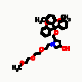 COCCOCCOCCN1CC(O)CC1COC(c1ccccc1)(c1ccccc1OC)c1ccccc1OC